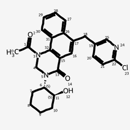 CC(=O)N1CN([C@H]2CCCC[C@@H]2O)C(=O)c2cc(Cc3ccc(Cl)nc3)c3ccccc3c21